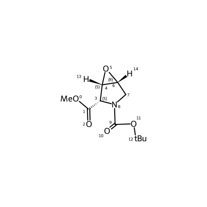 COC(=O)[C@@H]1[C@@H]2O[C@@H]2CN1C(=O)OC(C)(C)C